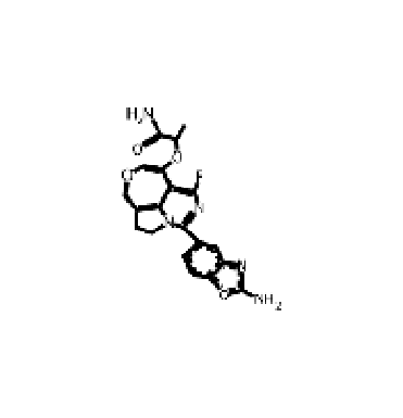 CC(OC1=COCC2=C3C1=C(F)N=C(c1ccc4oc(N)nc4c1)N3CC2)C(N)=O